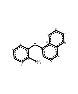 Nc1ncccc1Oc1cccc2ccccc12